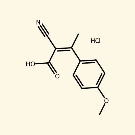 COc1ccc(C(C)=C(C#N)C(=O)O)cc1.Cl